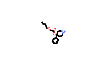 CCCCOCC(=O)OC1(c2ccccc2)CCNCC1